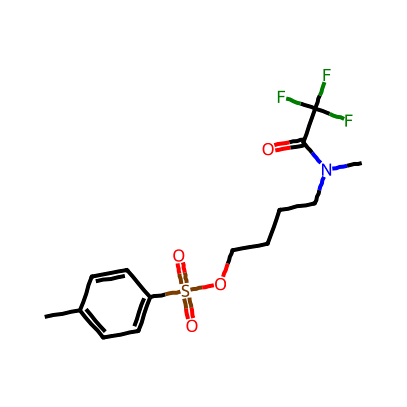 Cc1ccc(S(=O)(=O)OCCCCN(C)C(=O)C(F)(F)F)cc1